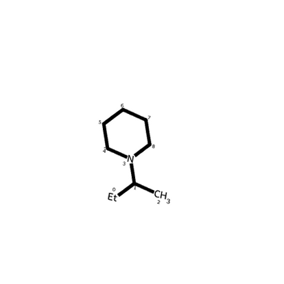 CCC(C)N1[CH]CCCC1